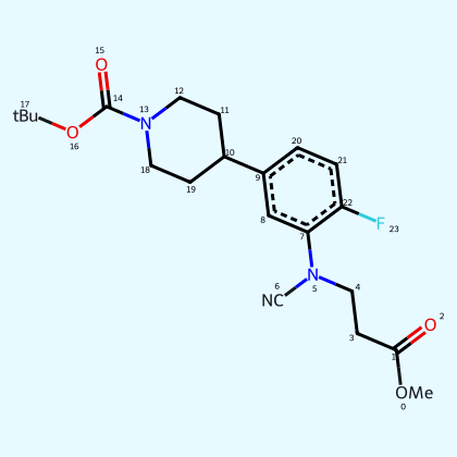 COC(=O)CCN(C#N)c1cc(C2CCN(C(=O)OC(C)(C)C)CC2)ccc1F